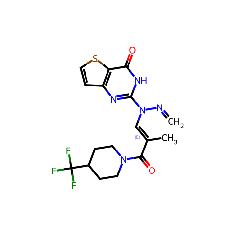 C=NN(/C=C(\C)C(=O)N1CCC(C(F)(F)F)CC1)c1nc2ccsc2c(=O)[nH]1